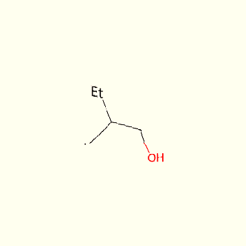 [CH2]CC([CH2])CO